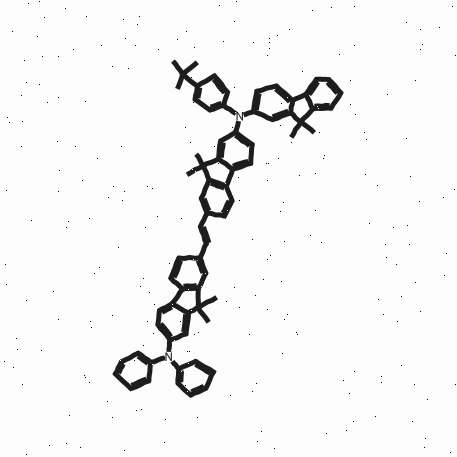 CC(C)(C)c1ccc(N(c2ccc3c(c2)C(C)(C)c2ccccc2-3)c2ccc3c(c2)C(C)(C)c2cc(/C=C/c4ccc5c(c4)C(C)(C)c4cc(N(c6ccccc6)c6ccccc6)ccc4-5)ccc2-3)cc1